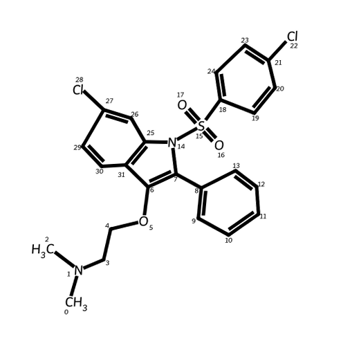 CN(C)CCOc1c(-c2ccccc2)n(S(=O)(=O)c2ccc(Cl)cc2)c2cc(Cl)ccc12